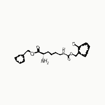 N[C@@H](CCCCNC(=O)OCc1ccccc1Cl)C(=O)OCc1ccccc1